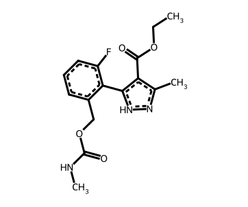 CCOC(=O)c1c(C)n[nH]c1-c1c(F)cccc1COC(=O)NC